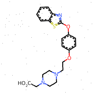 O=C(O)CN1CCN(CCOc2ccc(Oc3nc4ccccc4s3)cc2)CC1